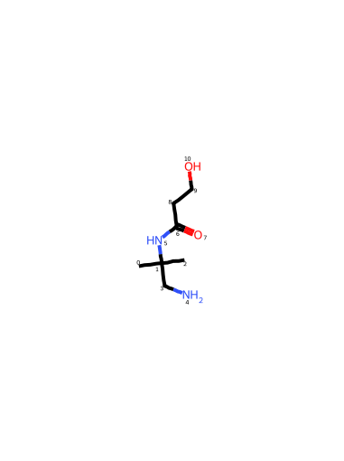 CC(C)(CN)NC(=O)CCO